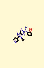 COc1ccccc1Nc1ncc2nc(-c3ccncc3)n(C3CC3)c2n1